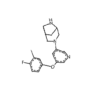 Cc1cc(Oc2cncc(N3CC4CNC(C4)C3)c2)ccc1F